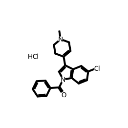 CN1CC=C(c2cn(C(=O)c3ccccc3)c3ccc(Cl)cc23)CC1.Cl